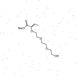 CC=C(OCCOCCOCCO)C(=O)OC